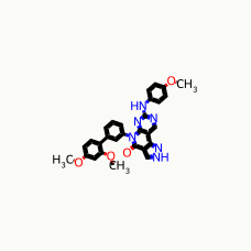 COc1ccc(Nc2ncc3c4n[nH]cc4c(=O)n(-c4cccc(-c5ccc(OC)cc5OC)c4)c3n2)cc1